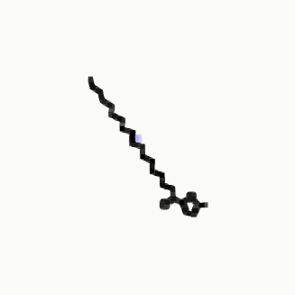 CCCCCCCC/C=C/CCCCCCCC(=O)c1ccc(C)o1